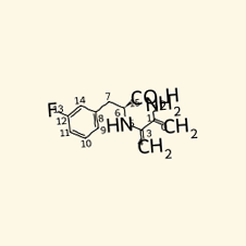 C=C(N)C(=C)N[C@@H](Cc1cccc(F)c1)C(=O)O